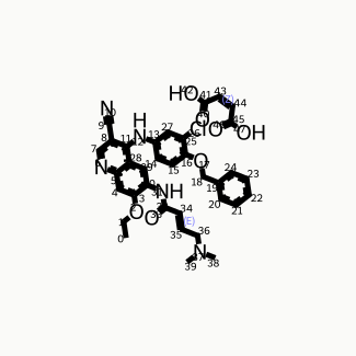 CCOc1cc2ncc(C#N)c(Nc3ccc(OCc4ccccc4)c(Cl)c3)c2cc1NC(=O)/C=C/CN(C)C.O=C(O)/C=C\C(=O)O